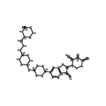 O=C1CCC(N2Cc3cc(N4CCN(CC5CCN(CCOC6CCCNC6)CC5)CC4)ccc3C2=O)C(=O)N1